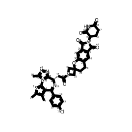 Cc1sc2c(c1C)C(c1ccc(Cl)cc1)=N[C@@H](CC(=O)N1CC3(CCc4cc5c(cc4O3)C(=O)N(C3CCC(=O)NC3=O)C5=O)C1)c1nnc(C)n1-2